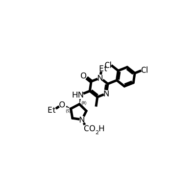 CCO[C@H]1CN(C(=O)O)C[C@H]1Nc1c(C)nc(-c2ccc(Cl)cc2Cl)n(CC)c1=O